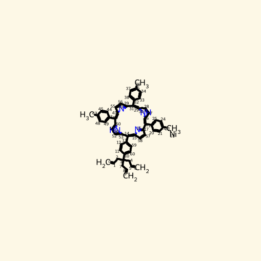 C=CCC(CC=C)(CC=C)c1ccc(-c2c3nc(c(-c4ccc(C)cc4)c4ccc([nH]4)c(-c4ccc(C)cc4)c4nc(c(-c5ccc(C)cc5)c5ccc2[nH]5)C=C4)C=C3)cc1.[Ni]